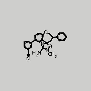 CN1OC2(CC(c3ccccc3)COc3ccc(-c4cccc(C#N)c4)cc32)N=C1N